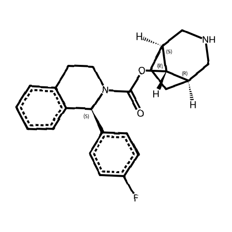 O=C(O[C@H]1[C@@H]2CC[C@H]1CNC2)N1CCc2ccccc2[C@@H]1c1ccc(F)cc1